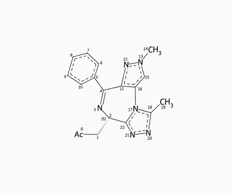 CC(=O)C[C@@H]1N=C(c2ccccc2)c2nn(C)cc2-n2c(C)nnc21